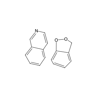 c1ccc2c(c1)COO2.c1ccc2cnccc2c1